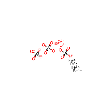 [Fe+3].[Fe+3].[Fe+3].[Fe+3].[O-2].[O-2].[O-2].[O]=[W](=[O])([O-])[O-].[O]=[W](=[O])([O-])[O-].[O]=[W](=[O])([O-])[O-]